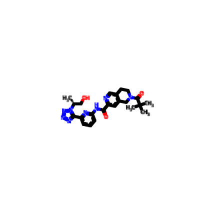 C[C@H](CO)n1nnnc1-c1cccc(NC(=O)c2cc3c(cn2)CCN(C(=O)C(C)(C)C)C3)n1